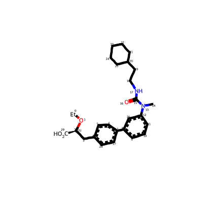 CCO[C@@H](Cc1ccc(-c2cccc(N(C)C(=O)NCCC3CCCCC3)c2)cc1)C(=O)O